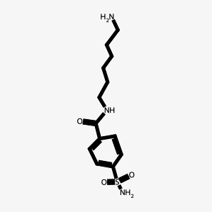 NCCCCCCNC(=O)c1ccc(S(N)(=O)=O)cc1